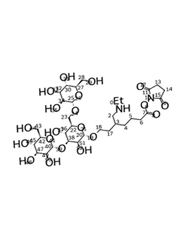 [CH2]CNCC(CCCC(=O)ON1C(=O)CCC1=O)CCO[C@H]1O[C@H](CO[C@H]2O[C@H](CO)[C@@H](O)[C@H](O)[C@@H]2O)[C@@H](O)[C@H](O[C@H]2O[C@H](CO)[C@@H](O)[C@H](O)[C@@H]2O)[C@@H]1O